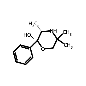 C[C@@H]1NC(C)(C)CO[C@@]1(O)c1ccccc1